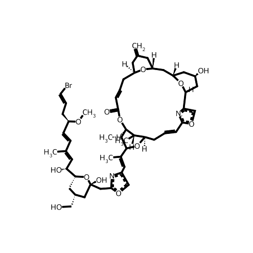 C=C1C[C@@H]2C[C@@H]3C[C@@H](O)C[C@@H](O3)c3coc(n3)/C=C/C[C@H]3OC(/C(C)=C/c4coc(C[C@]5(O)C[C@H](CO)C[C@H]([C@H](O)/C=C(C)/C=C/[C@@H](C/C=C/Br)OC)O5)n4)[C@H](C)[C@@H](OC(=O)/C=C\C[C@@H](C1)O2)[C@H]3C